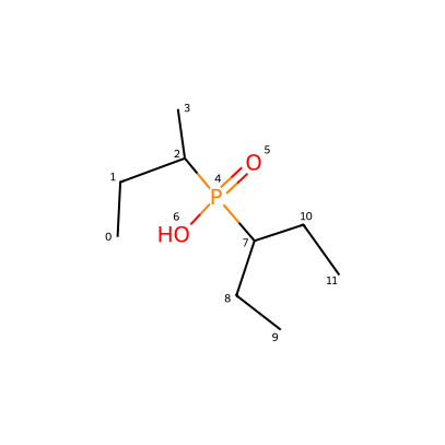 CCC(C)P(=O)(O)C(CC)CC